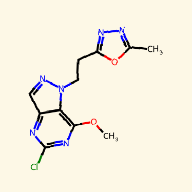 COc1nc(Cl)nc2cnn(CCc3nnc(C)o3)c12